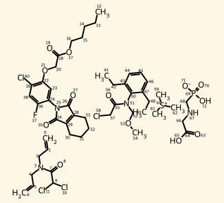 C=CCN(CC=C)C(=O)C(Cl)Cl.CCCCCOC(=O)COc1cc(N2C(=O)C3=C(CCCC3)C2=O)c(F)cc1Cl.CCc1cccc(CC)c1N(COC)C(=O)CCl.C[S+](C)C.O=C(O)CNCP(=O)([O-])O